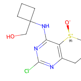 [O-][S@@+]1CCCc2nc(Cl)nc(NC3(CO)CCC3)c21